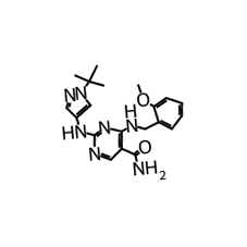 COc1ccccc1CNc1nc(Nc2cnn(C(C)(C)C)c2)ncc1C(N)=O